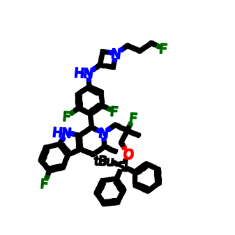 CC1Cc2c([nH]c3ccc(F)cc23)C(c2c(F)cc(NC3CN(CCCF)C3)cc2F)N1CC(C)(F)CO[Si](c1ccccc1)(c1ccccc1)C(C)(C)C